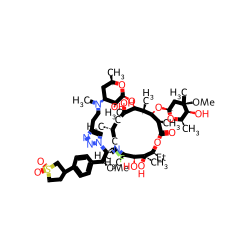 CC[C@H]1OC(=O)[C@H](C)[C@@H](O[C@H]2C[C@@](C)(OC)[C@@H](O)[C@H](C)O2)[C@H](C)[C@@H](O[C@@H]2O[C@H](C)C[C@H](N(C)CCc3cn([C@H](CF)[C@H](OC)c4ccc(C5CCS(=O)(=O)C5)cc4)nn3)[C@H]2O)[C@](C)(O)C[C@@H](C)CN(C)[C@H](C)[C@@H](O)[C@]1(C)O